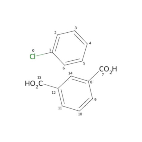 Clc1ccccc1.O=C(O)c1cccc(C(=O)O)c1